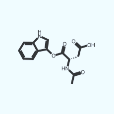 CC(=O)N[C@@H](CC(=O)O)C(=O)Oc1c[nH]c2ccccc12